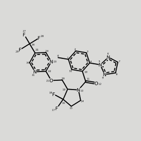 Cc1ccc(-n2nccn2)c(C(=O)N2CCC(F)(F)C2COc2ncc(C(F)(F)F)cn2)c1